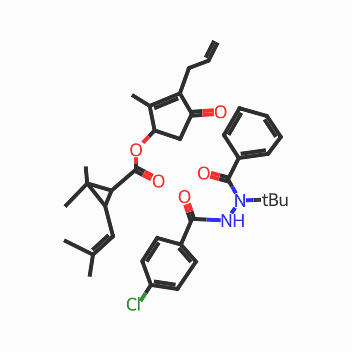 C=CCC1=C(C)C(OC(=O)C2C(C=C(C)C)C2(C)C)CC1=O.CC(C)(C)N(NC(=O)c1ccc(Cl)cc1)C(=O)c1ccccc1